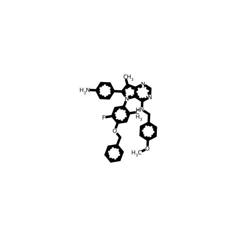 COc1ccc(CNc2ncnc3c(C)c(-c4ccc(N)cc4)n(-c4cc(F)c(OCc5ccccc5)cc4C)c23)cc1